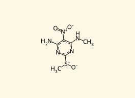 CNc1nc([S+](C)[O-])nc(N)c1[N+](=O)[O-]